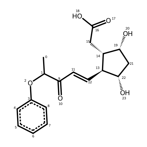 CC(Oc1ccccc1)C(=O)C=C[C@H]1[C@H](CC(=O)O)[C@H](O)C[C@@H]1O